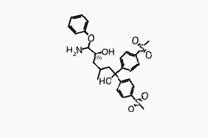 CC(C[C@H](O)C(N)Oc1ccccc1)CC(O)(c1ccc(S(C)(=O)=O)cc1)c1ccc(S(C)(=O)=O)cc1